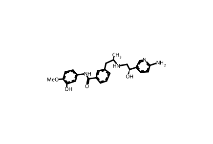 COc1ccc(NC(=O)c2cccc(C[C@@H](C)NC[C@H](O)c3ccc(N)nc3)c2)cc1O